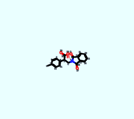 Cc1ccc(C(CN2C(=O)c3ccccc3C2=O)C(=O)O)cc1